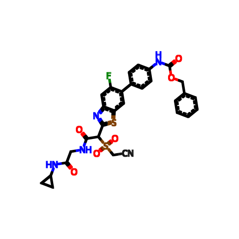 N#CCS(=O)(=O)C(C(=O)NCC(=O)NC1CC1)c1nc2cc(F)c(-c3ccc(NC(=O)OCc4ccccc4)cc3)cc2s1